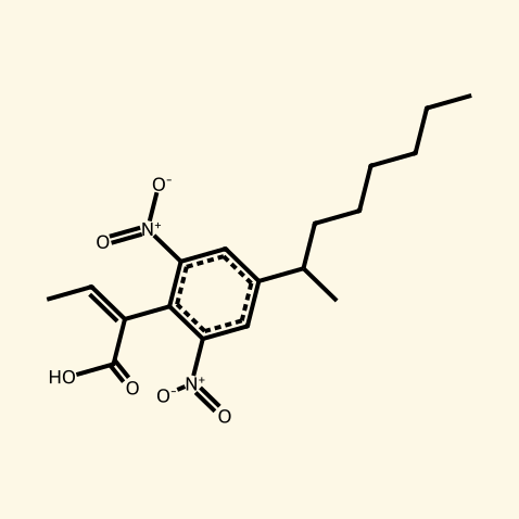 CC=C(C(=O)O)c1c([N+](=O)[O-])cc(C(C)CCCCCC)cc1[N+](=O)[O-]